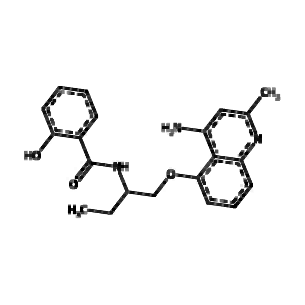 CCC(COc1cccc2nc(C)cc(N)c12)NC(=O)c1ccccc1O